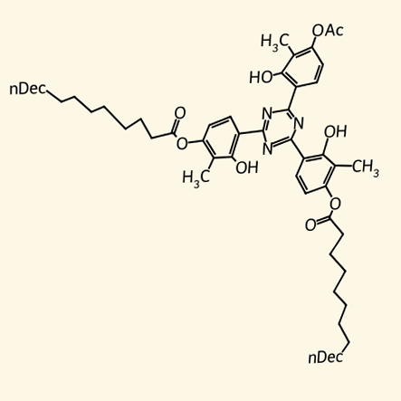 CCCCCCCCCCCCCCCCCC(=O)Oc1ccc(-c2nc(-c3ccc(OC(C)=O)c(C)c3O)nc(-c3ccc(OC(=O)CCCCCCCCCCCCCCCCC)c(C)c3O)n2)c(O)c1C